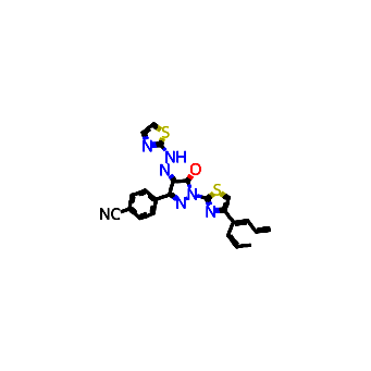 C=C/C=C(\C=C/C)c1csc(N2N=C(c3ccc(C#N)cc3)/C(=N/Nc3nccs3)C2=O)n1